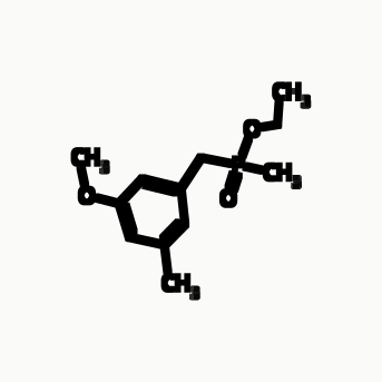 CCOP(C)(=O)Cc1cc(C)cc(OC)c1